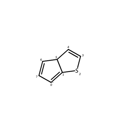 [C]1=C2SC=CC2C=C1